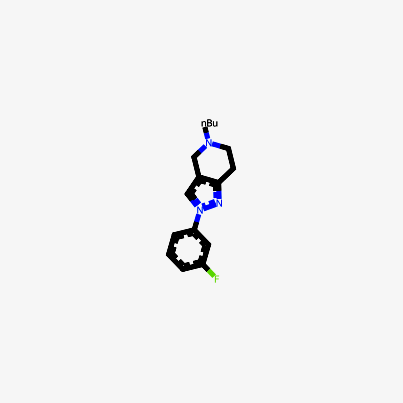 CCCCN1CCc2nn(-c3cccc(F)c3)cc2C1